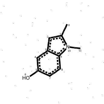 Cc1cc2cc(O)ccc2n1C